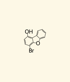 Oc1ccc(Br)c2oc3ccccc3c12